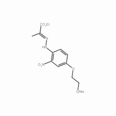 CCOC(=O)C(C)=NNc1ccc(OCCOC)cc1[N+](=O)[O-]